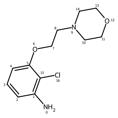 Nc1cccc(OCCN2CCOCC2)c1Cl